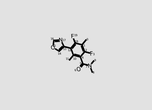 Cc1c(F)c(C(=O)N(C)C)c(C)c(-c2cocn2)c1F